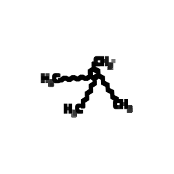 [CH2]Cc1cc(CCCCCCCC)c(CCCCCCCC)c(CCCCCCCC)c1